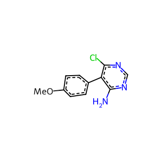 COc1ccc(-c2c(N)ncnc2Cl)cc1